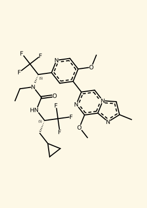 CCN(C(=O)N[C@@H](CC1CC1)C(F)(F)F)[C@@H](c1cc(-c2cn3cc(C)nc3c(OC)n2)c(OC)cn1)C(F)(F)F